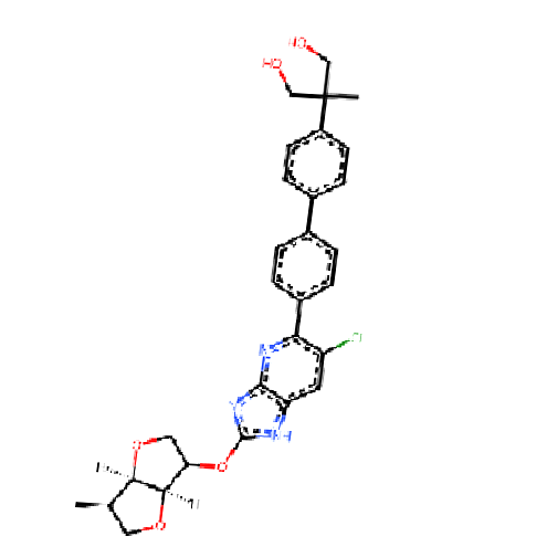 C[C@@H]1CO[C@H]2[C@@H]1OC[C@H]2Oc1nc2nc(-c3ccc(-c4ccc(C(C)(CO)CO)cc4)cc3)c(Cl)cc2[nH]1